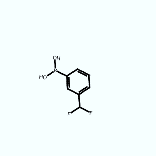 OB(O)c1c[c]cc(C(F)F)c1